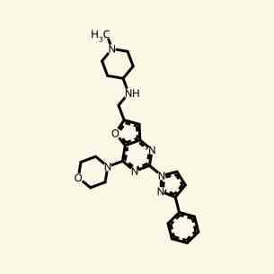 CN1CCC(NCc2cc3nc(-n4ccc(-c5ccccc5)n4)nc(N4CCOCC4)c3o2)CC1